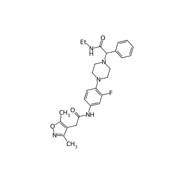 CCNC(=O)C(c1ccccc1)N1CCN(c2ccc(NC(=O)Cc3c(C)noc3C)cc2F)CC1